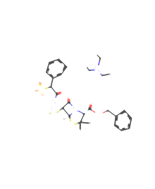 CCN(CC)CC.CS[C@@]1(NC(=O)C(c2ccccc2)S(=O)(=O)O)C(=O)N2[C@@H](C(=O)OCc3ccccc3)C(C)(C)S[C@@H]21